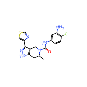 CC1Cc2[nH]nc(-c3cscn3)c2CN1C(=O)Nc1ccc(F)c(N)c1